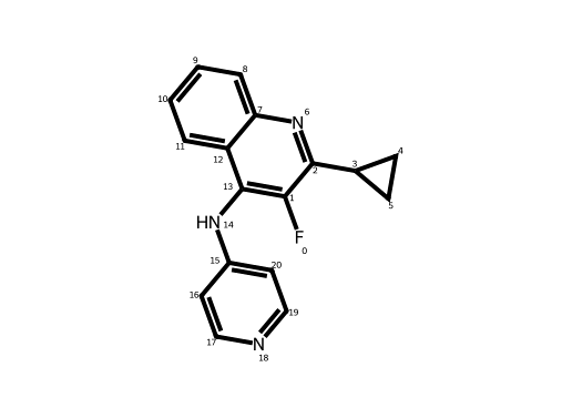 Fc1c(C2CC2)nc2ccccc2c1Nc1ccncc1